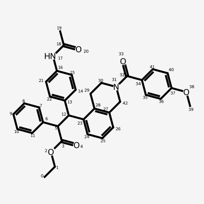 CCOC(=O)C(c1ccccc1)C(c1ccc(NC(C)=O)cc1)c1cccc2c1CCN(C(=O)c1ccc(OC)cc1)C2